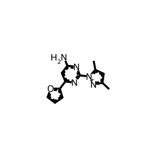 Cc1cc(C)n(-c2nc(N)cc(-c3ccco3)n2)n1